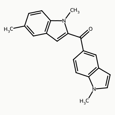 Cc1ccc2c(c1)cc(C(=O)c1ccc3c(ccn3C)c1)n2C